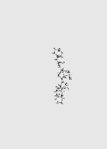 CC1(OC(=O)C2C3CC4C(OC(=O)C42)C3OC(=O)CN2CCOCC2)CC2CC1C1C3CCC(C3)C21